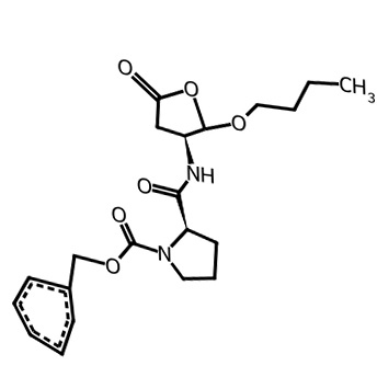 CCCCOC1OC(=O)C[C@@H]1NC(=O)[C@H]1CCCN1C(=O)OCc1ccccc1